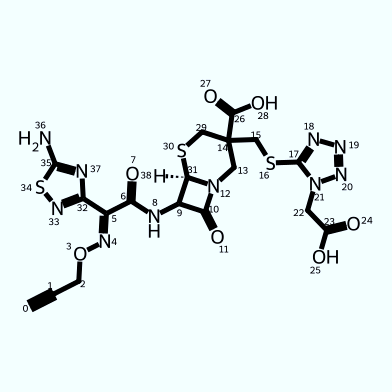 C#CCON=C(C(=O)NC1C(=O)N2CC(CSc3nnnn3CC(=O)O)(C(=O)O)CS[C@H]12)c1nsc(N)n1